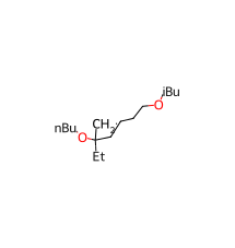 [CH2]C(CC)(CCCCOC(C)CC)OCCCC